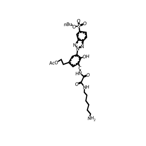 CCCCOS(=O)(=O)c1ccc2nn(-c3cc(CCOC(C)=O)cc(CNC(=O)C(=O)NCCCCCCN)c3O)nc2c1